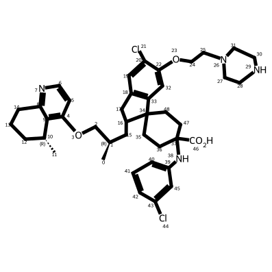 C[C@@H](COc1ccnc2c1[C@H](C)CCC2)CC1Cc2cc(Cl)c(OCCN3CCNCC3)cc2C12CCC(Nc1cccc(Cl)c1)(C(=O)O)CC2